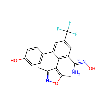 Cc1noc(C)c1-c1c(/C(N)=N/O)cc(C(F)(F)F)cc1-c1ccc(O)cc1